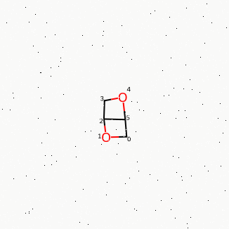 C1OC2COC12